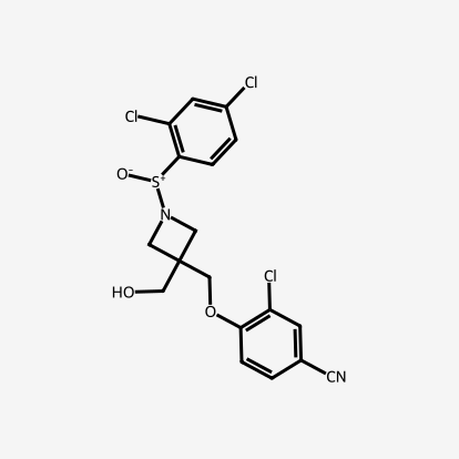 N#Cc1ccc(OCC2(CO)CN([S+]([O-])c3ccc(Cl)cc3Cl)C2)c(Cl)c1